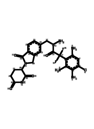 Bc1cc(Cl)c(B)c(B)c1C(F)(F)C(=O)N(B)Cc1ccc2c(c1)CN(C1CCC(=O)NC1=O)C2=O